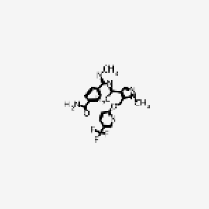 C/N=C(\N=C(/C)c1cnn(C)c1COc1ccc(C(F)(F)F)cn1)c1ccc(C(N)=O)cc1